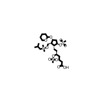 CC(C)C[Si](C)(C)OC[C@@H]1[C@@H](CC[C@@H](CCCC(=O)O)OS(C)(=O)=O)[C@H](OS(C)(=O)=O)C[C@H]1OC1CCCCO1